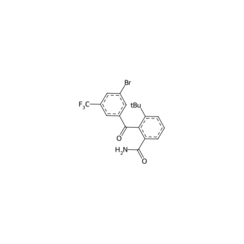 CC(C)(C)c1cccc(C(N)=O)c1C(=O)c1cc(Br)cc(C(F)(F)F)c1